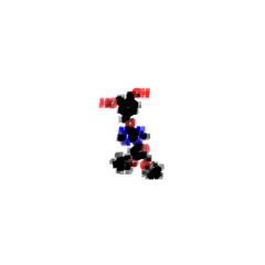 CC(C)(C)[Si](C)(C)OC[C@H]1O[C@@H](n2cnc3c(OCc4ccc(CO)c(CO)c4)ncnc32)C[C@@H]1O[Si](C)(C)C(C)(C)C